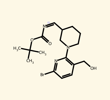 CC(C)(C)OC(=O)/N=C\C1CCCN(c2nc(Br)ccc2CO)C1